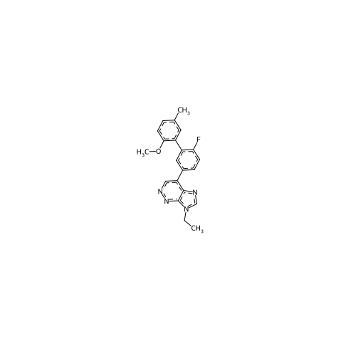 CCn1cnc2c(-c3ccc(F)c(-c4cc(C)ccc4OC)c3)cnnc21